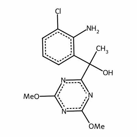 COc1nc(OC)nc(C(C)(O)c2cccc(Cl)c2N)n1